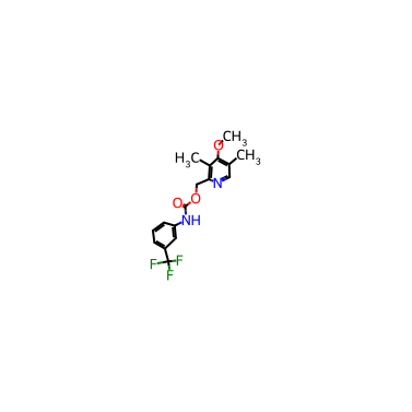 COc1c(C)cnc(COC(=O)Nc2cccc(C(F)(F)F)c2)c1C